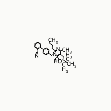 CCCCc1nc(C)c(CC(O)C(C)(C)C)c(=O)n1Cc1ccc(-c2ccccc2C#N)cc1